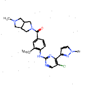 COc1cc(C(=O)N2CC3CN(C)CC3C2)ccc1Nc1ncc(Cl)c(-c2ccn(C(C)C)n2)n1